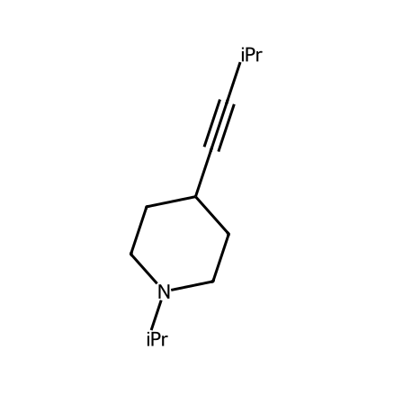 CC(C)C#CC1CCN(C(C)C)CC1